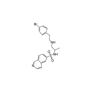 CC(CNCCc1ccc(Br)cc1)NS(=O)(=O)c1ccc2cnccc2c1